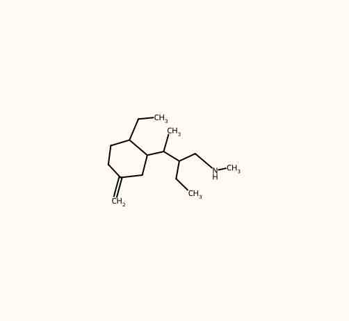 C=C1CCC(CC)C(C(C)C(CC)CNC)C1